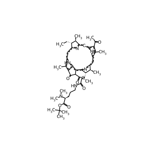 CC[C@H]1c2cc3[nH]c4c(c3C)C(=O)C(C(=O)OC)c4c3nc(cc4[nH]c(cc(n2)[C@@H]1C)c(C(C)=O)c4C)[C@@H](C)[C@@H]3CCC(=O)NCCC[C@@H](C(=O)OC(C)(C)C)N(C)C